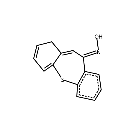 ON=C1C=C2CC=CC=C2Sc2ccccc21